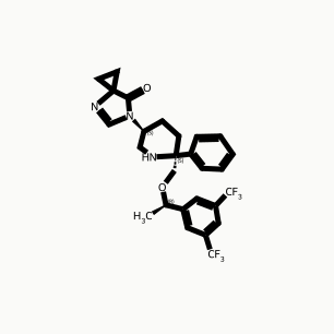 C[C@@H](OC[C@@]1(c2ccccc2)CC[C@H](N2C=NC3(CC3)C2=O)CN1)c1cc(C(F)(F)F)cc(C(F)(F)F)c1